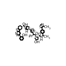 Cc1ncsc1-c1ccc(C(C)NC(=O)[C@@H]2C[C@@H](O)CN2C(=O)C(c2cc(N3C[C@H]4C[C@@H]3CN4C(=O)[C@H]3CCc4sc5nnc(-c6ccccc6O)cc5c4C3)no2)C(C)C)cc1